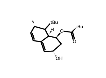 CC[C@H](C)C(=O)O[C@H]1C[C@H](O)C=C2C=C[C@H](C)C(C(C)(C)C)[C@H]21